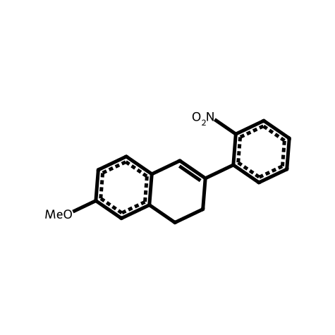 COc1ccc2c(c1)CCC(c1ccccc1[N+](=O)[O-])=C2